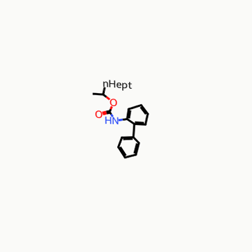 CCCCCCCC(C)OC(=O)Nc1ccccc1-c1ccccc1